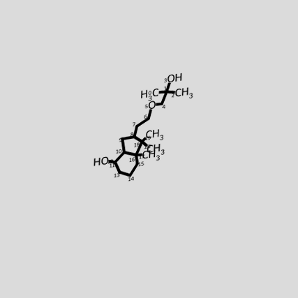 CC(C)(O)COCCC1CC2C(O)CCCC2(C)C1(C)C